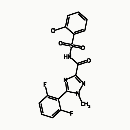 Cn1nc(C(=O)NS(=O)(=O)c2ccccc2Cl)nc1-c1c(F)cccc1F